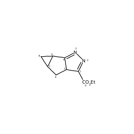 CCOC(=O)C1=NN=C2C1CC1CC21